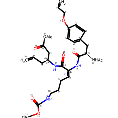 C=CCOc1ccc(C[C@H](NC(C)=O)C(=O)N/C(=C/CCCNC(=O)OC(C)(C)C)C(=O)N[C@@H](CC=C)CC(=O)OC)cc1